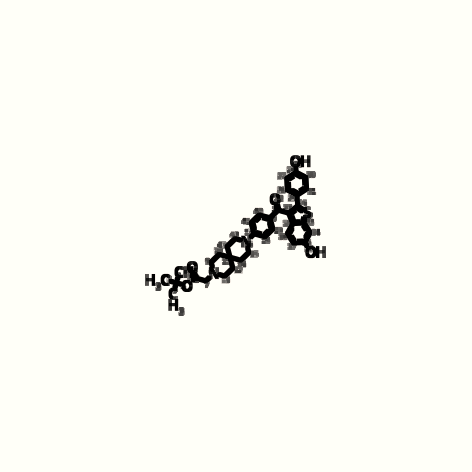 CC(C)(C)OC(=O)CN1CCC2(CC1)CCN(c1ccc(C(=O)c3c(-c4ccc(O)cc4)sc4cc(O)ccc34)cc1)CC2